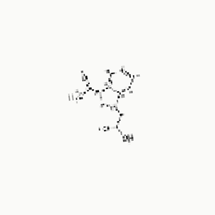 CC(=O)N1CN(CC(=O)O)c2ccccc21